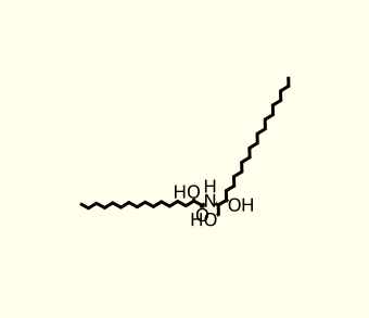 CCCCCCCCCCCCCCCCCC(O)C(CO)NC(=O)C(O)CCCCCCCCCCCCCC